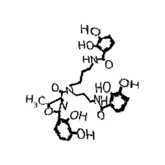 C[C@H]1OC(c2cccc(O)c2O)=N[C@@H]1C(=O)N(CCCCNC(=O)c1cccc(O)c1O)CCCNC(=O)c1cccc(O)c1O